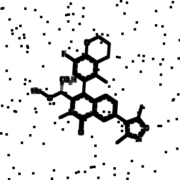 Cc1noc(C)c1-c1ccc2c(-c3cc(F)c4c(c3C)CCCO4)c([C@H](OC(C)(C)C)C(=O)O)n(C)c(=O)c2c1